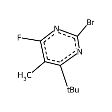 Cc1c(F)nc(Br)nc1C(C)(C)C